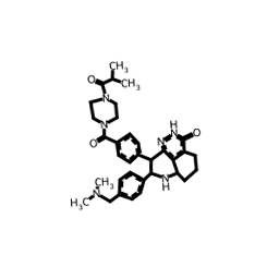 CC(C)C(=O)N1CCN(C(=O)c2ccc(C3c4n[nH]c(=O)c5c4C(CCC5)NC3c3ccc(CN(C)C)cc3)cc2)CC1